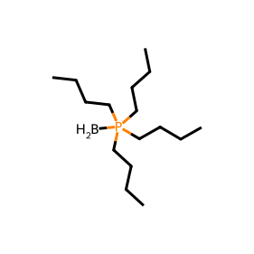 BP(CCCC)(CCCC)(CCCC)CCCC